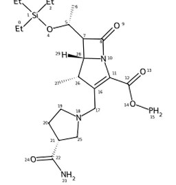 CC[Si](CC)(CC)O[C@H](C)C1C(=O)N2C(C(=O)OP)=C(CN3CC[C@@H](C(N)=O)C3)[C@H](C)[C@H]12